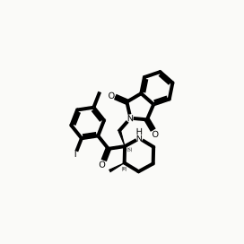 Cc1ccc(I)c(C(=O)[C@]2(CN3C(=O)c4ccccc4C3=O)NCCC[C@H]2C)c1